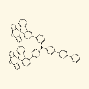 c1ccc(-c2ccc(-c3ccc(N(c4ccc(-c5cccc6c5-c5ccccc5C65c6ccccc6Oc6ccccc65)cc4)c4cccc(-c5ccc6c(c5)-c5ccccc5C65c6ccccc6Oc6ccccc65)c4)cc3)cc2)cc1